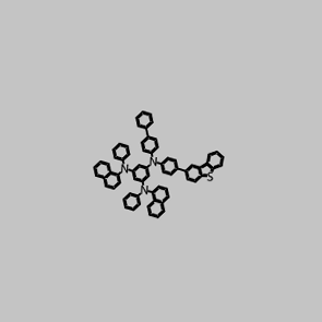 c1ccc(-c2ccc(N(c3ccc(-c4ccc5sc6ccccc6c5c4)cc3)c3cc(N(c4ccccc4)c4cccc5ccccc45)cc(N(c4ccccc4)c4cccc5ccccc45)c3)cc2)cc1